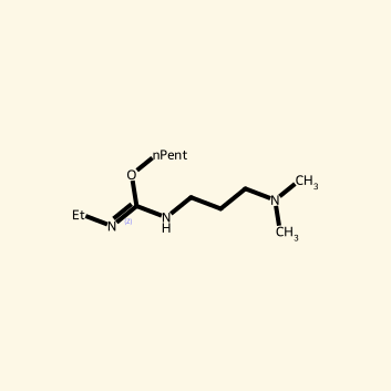 CCCCCO/C(=N\CC)NCCCN(C)C